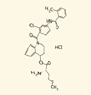 CSCC[C@H](N)C(=O)OC1CCCN(C(=O)c2ccc(NC(=O)c3ccccc3C)cc2Cl)c2ccccc21.Cl